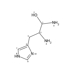 NC(O)C(N)Cc1c[nH]cn1